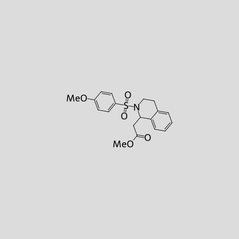 COC(=O)CC1c2ccccc2CCN1S(=O)(=O)c1ccc(OC)cc1